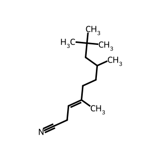 C/C(=C\CC#N)CCC(C)CC(C)(C)C